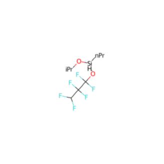 CCC[SiH](OC(C)C)OC(F)(F)C(F)(F)C(F)F